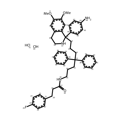 COc1cc2c(cc1OC)C(CCCC(CCCNC(=O)CCc1ccc(F)cc1)(c1ccccc1)c1ccccc1)(c1ccc(N)cc1)NCC2.Cl.Cl